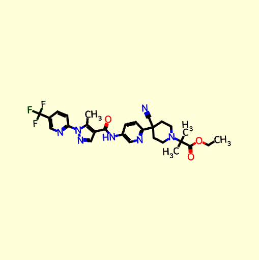 CCOC(=O)C(C)(C)N1CCC(C#N)(c2ccc(NC(=O)c3cnn(-c4ccc(C(F)(F)F)cn4)c3C)cn2)CC1